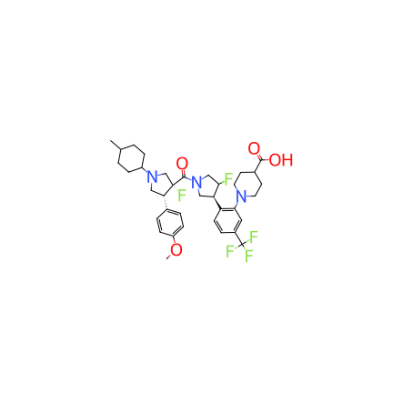 COc1ccc([C@@H]2CN(C3CCC(C)CC3)C[C@@]2(F)C(=O)N2C[C@@H](F)[C@@H](c3ccc(C(F)(F)F)cc3N3CCC(C(=O)O)CC3)C2)cc1